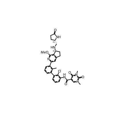 COc1nc(-c2cccc(-c3cccc(NC(=O)c4cn(C)c(=O)n(C)c4=O)c3Cl)c2C)cc2c1[C@@H](NC[C@@H]1CCC(=O)N1)CC2